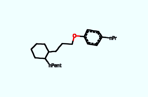 CCCCCC1CCCCC1CCCOc1ccc(CCC)cc1